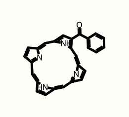 O=C(c1ccccc1)c1cc2cc3nc(cc4ccc(cc5nc(cc1[nH]2)C=C5)[nH]4)C=C3